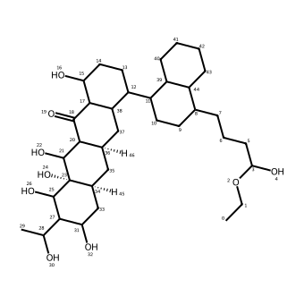 CCOC(O)CCCC1CCC(C2CCC(O)C3C(=O)C4C(O)[C@]5(O)C(O)C(C(C)O)C(O)C[C@@H]5C[C@@H]4CC23)C2CCCCC12